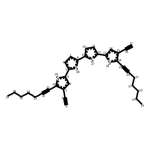 C#Cc1cc(-c2ccc(-c3ccc(-c4cc(C#C)c(C#CCCCCC)s4)s3)s2)sc1C#CCCCCC